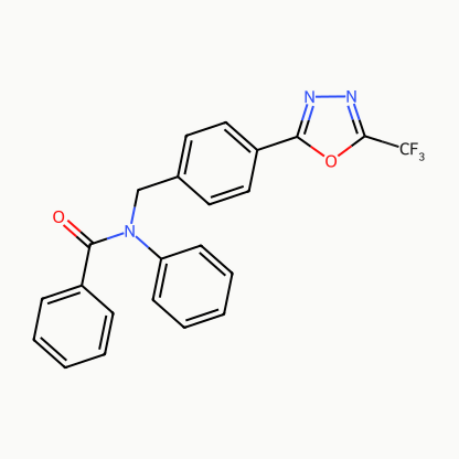 O=C(c1ccccc1)N(Cc1ccc(-c2nnc(C(F)(F)F)o2)cc1)c1ccccc1